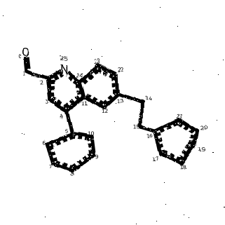 O=Cc1cc(-c2ccccc2)c2cc(CCc3ccccc3)ccc2n1